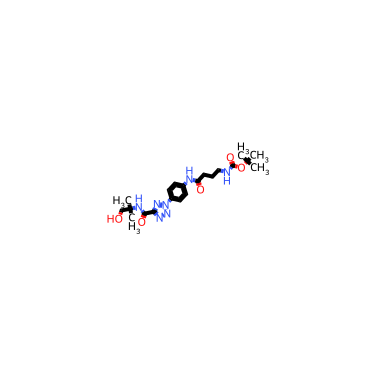 CC(C)(CO)NC(=O)c1nnn(-c2ccc(NC(=O)CCCNC(=O)OC(C)(C)C)cc2)n1